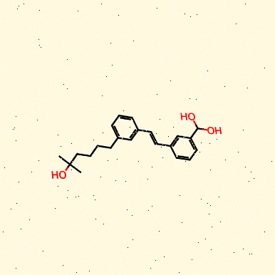 CC(C)(O)CCCCc1cccc(C=Cc2cccc(C(O)O)c2)c1